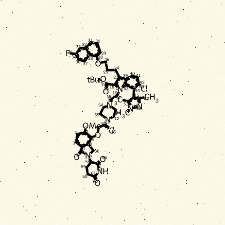 COc1ccc2c(c1OCC(=O)N1CCN(CCn3c(C(=O)OC(C)(C)C)c(CCCOc4cccc5cc(F)ccc45)c4ccc(Cl)c(-c5c(C)nn(C)c5C)c43)CC1)CN(C1CCC(=O)NC1=O)C2=O